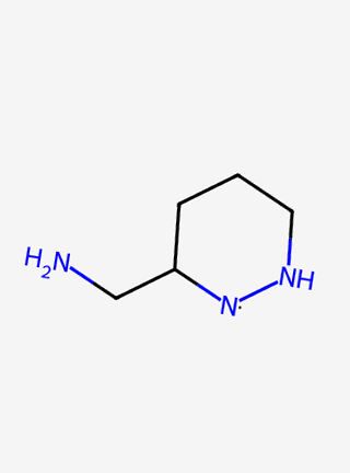 NCC1CCCN[N]1